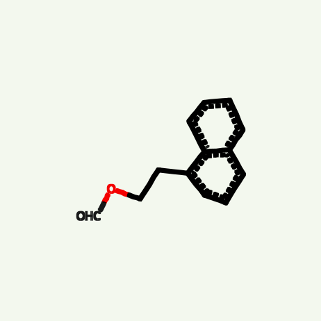 O=COCCc1cccc2ccccc12